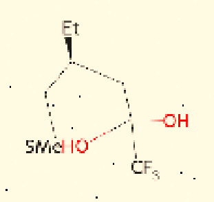 CC[C@H](CSC)CC(O)(O)C(F)(F)F